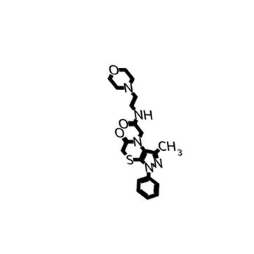 Cc1nn(-c2ccccc2)c2c1N(CC(=O)NCCN1CCOCC1)C(=O)CS2